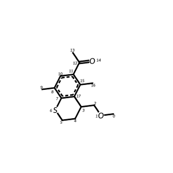 COCC1CCSc2c(C)cc(C(C)=O)c(C)c21